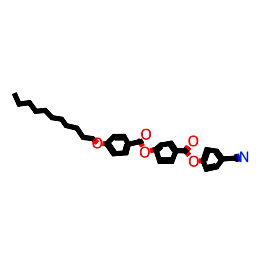 CCCCCCCCCCCOc1ccc(C(=O)Oc2ccc(C(=O)Oc3ccc(C#N)cc3)cc2)cc1